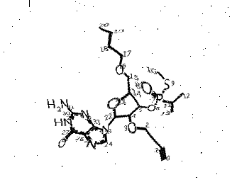 C#CCOC1C(OP(=O)(SC)C(C)C)C(COCCCC)OC1n1cnc2c(=O)[nH]c(N)nc21